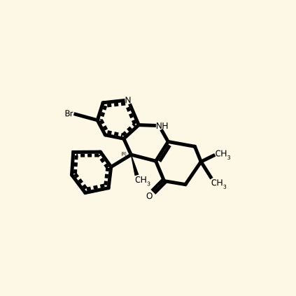 CC1(C)CC(=O)C2=C(C1)Nc1ncc(Br)cc1[C@@]2(C)c1ccccc1